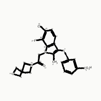 Cc1c(Sc2cccc(C(=O)O)c2)c2ccc(Cl)c(F)c2n1CC(=O)N1CC2(COC2)C1